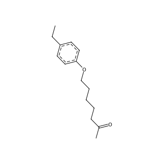 CCc1ccc(OCCCCCC(C)=O)cc1